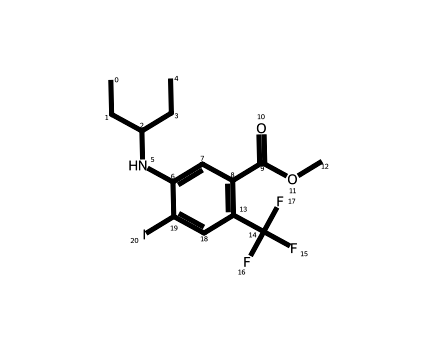 CCC(CC)Nc1cc(C(=O)OC)c(C(F)(F)F)cc1I